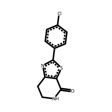 O=C1NCCc2nc(-c3ccc(Cl)cc3)sc21